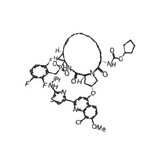 COc1ccc2c(O[C@@H]3C[C@H]4C(=O)N[C@]5(P(=O)(O)Cc6c(F)ccc(F)c6F)C[C@H]5/C=C\CCCCC[C@H](NC(=O)OC5CCCC5)C(=O)N4C3)cc(-c3csc(NC(C)C)n3)nc2c1Cl